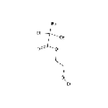 CCOCCOC(=O)C(CC)(CC)C(C)CC